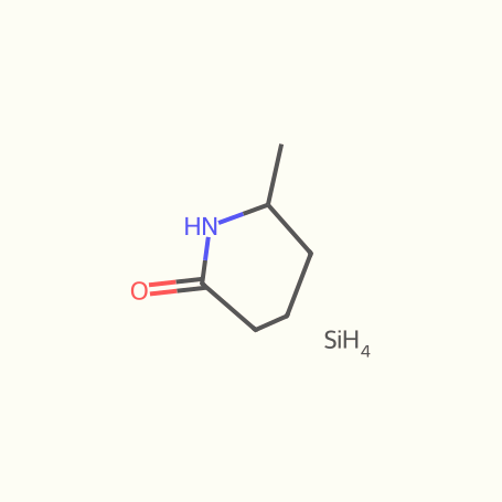 CC1CCCC(=O)N1.[SiH4]